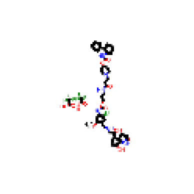 COc1cc(NC(=O)OCCCNC(=O)CCN2CCC(OC(=O)Nc3ccccc3-c3ccccc3)CC2)c(Cl)cc1CNC[C@H](O)c1ccc(O)c2[nH]c(=O)ccc12.O=C(O)C(F)(F)F.O=C(O)C(F)(F)F